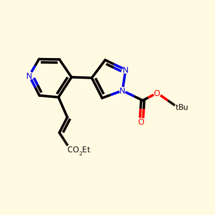 CCOC(=O)C=Cc1cnccc1-c1cnn(C(=O)OC(C)(C)C)c1